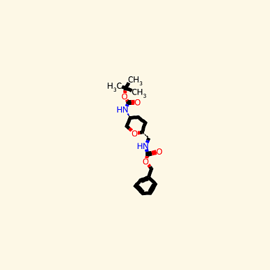 CC(C)(C)OC(=O)N[C@@H]1CC[C@H](CNC(=O)OCc2ccccc2)OC1